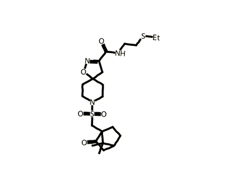 CCSCCNC(=O)C1=NOC2(CCN(S(=O)(=O)CC34CCC(CC3=O)C4(C)C)CC2)C1